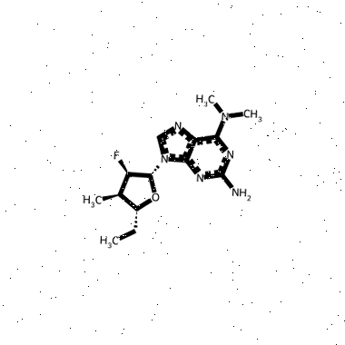 CC[C@H]1O[C@@H](n2cnc3c(N(C)C)nc(N)nc32)[C@H](F)[C@@H]1C